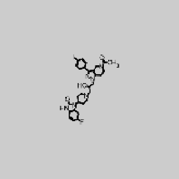 CC(=O)N1CCc2c(c(-c3ccc(I)cc3)nn2CC(O)CN2CCC(n3c(=O)[nH]c4ccc(F)cc43)CC2)C1